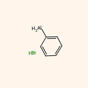 Br.[AlH2][c]1ccccc1